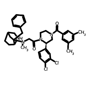 Cc1cc(C)cc(C(=O)N2CCN(C(=O)CN(C)C3(Cc4ccccc4)CC4CCC3NC4)[C@H](c3ccc(Cl)c(Cl)c3)C2)c1